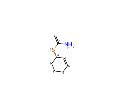 C=C(N)S[C@H]1C=CCCC1